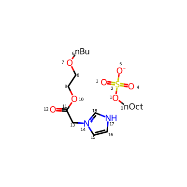 CCCCCCCCOS(=O)(=O)[O-].CCCCOCCOC(=O)C[n+]1cc[nH]c1